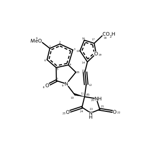 COc1ccc2c(c1)C(=O)N(C[C@@]1(C#Cc3ccc(C(=O)O)o3)NC(=O)NC1=O)C2